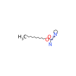 CCCCCCCCCCCCOC(=O)/C(C#N)=C\C=C\N1CCCCC1